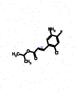 CC(C)OC(=O)/C=C/c1cc(N)c(F)cc1Cl